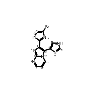 Brc1n[nH]c(-c2nc3ncccn3c2-c2c[nH]cn2)n1